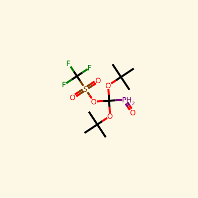 CC(C)(C)OC(OC(C)(C)C)(OS(=O)(=O)C(F)(F)F)[PH2]=O